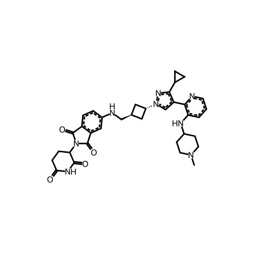 CN1CCC(Nc2cccnc2-c2cn([C@H]3C[C@H](CNc4ccc5c(c4)C(=O)N(C4CCC(=O)NC4=O)C5=O)C3)nc2C2CC2)CC1